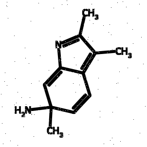 CC1=NC2=CC(C)(N)C=CC2=C1C